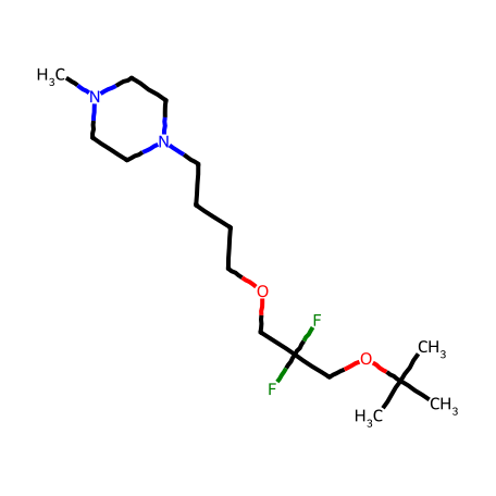 CN1CCN(CCCCOCC(F)(F)COC(C)(C)C)CC1